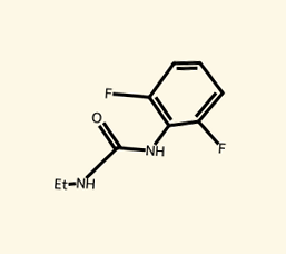 CCNC(=O)Nc1c(F)cccc1F